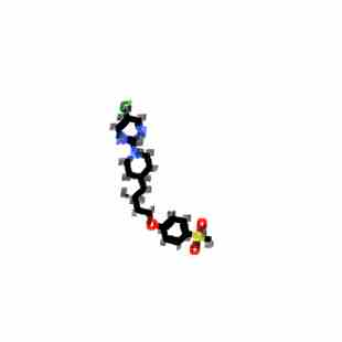 C[C@@H](CCOc1ccc(S(C)(=O)=O)cc1)CC1CCN(c2ncc(Cl)cn2)CC1